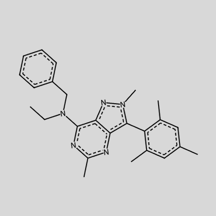 CCN(Cc1ccccc1)c1nc(C)nc2c(-c3c(C)cc(C)cc3C)n(C)nc12